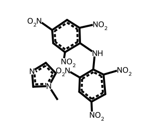 Cn1ccnc1.O=[N+]([O-])c1cc([N+](=O)[O-])c(Nc2c([N+](=O)[O-])cc([N+](=O)[O-])cc2[N+](=O)[O-])c([N+](=O)[O-])c1